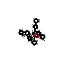 c1ccc(-c2ccc(-c3nc(-n4c5ccc6c7ccccc7oc6c5c5ccc6c7ccccc7n(-c7cccc(-c8ccccc8)c7)c6c54)nc4ccccc34)cc2)cc1